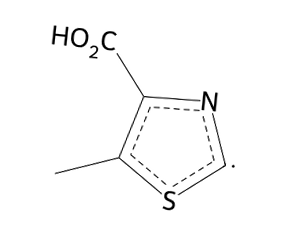 Cc1s[c]nc1C(=O)O